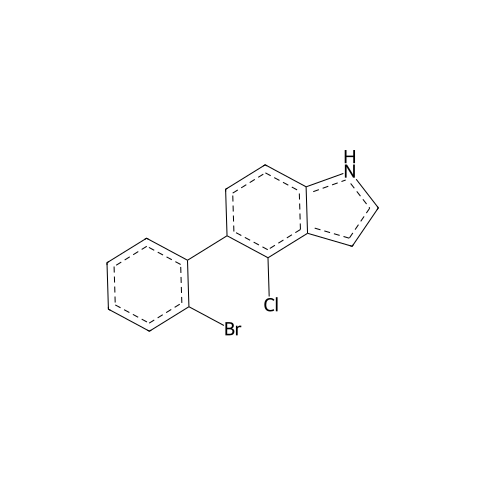 Clc1c(-c2ccccc2Br)ccc2[nH]ccc12